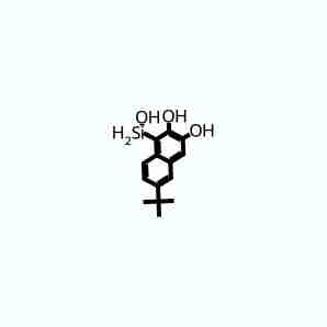 CC(C)(C)c1ccc2c([SiH2]O)c(O)c(O)cc2c1